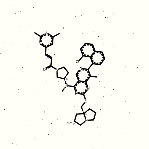 Cc1cc(/C=C/C(=O)N2CC[C@@H](N(C)c3nc(OC[C@@]45CCCN4C[C@H](F)C5)nc4c(F)c(-c5cccc6cccc(Cl)c56)ncc34)C2)nc(C)n1